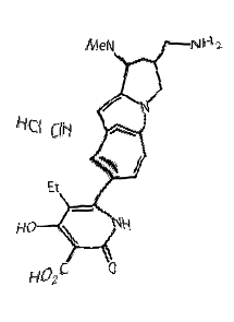 CCc1c(-c2ccc3c(c2)cc2n3CC(CN)C2NC)[nH]c(=O)c(C(=O)O)c1O.Cl.Cl